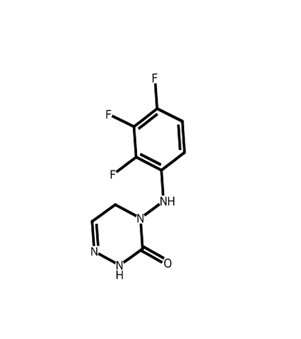 O=C1NN=CCN1Nc1ccc(F)c(F)c1F